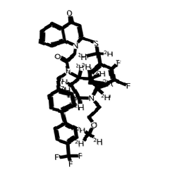 [2H]C([2H])([2H])OCCN1C([2H])([2H])C([2H])([2H])C([2H])(N(Cc2ccc(-c3ccc(C(F)(F)F)cc3)cc2)C(=O)Cn2c(SC([2H])([2H])c3cccc(F)c3F)cc(=O)c3ccccc32)C([2H])([2H])C1([2H])[2H]